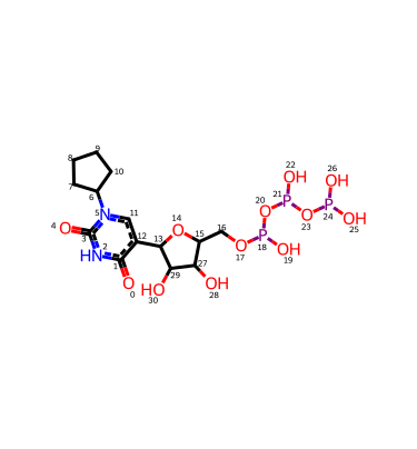 O=c1[nH]c(=O)n(C2CCCC2)cc1C1OC(COP(O)OP(O)OP(O)O)C(O)C1O